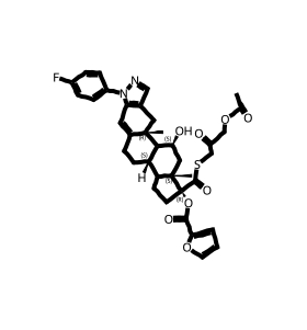 CC(=O)OCC(=O)CSC(=O)[C@@]1(OC(=O)c2ccco2)CCC2[C@@H]3CCC4=Cc5c(cnn5-c5ccc(F)cc5)C[C@]4(C)C3[C@@H](O)C[C@@]21C